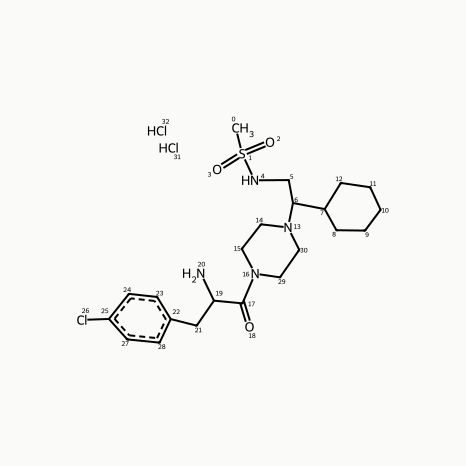 CS(=O)(=O)NCC(C1CCCCC1)N1CCN(C(=O)C(N)Cc2ccc(Cl)cc2)CC1.Cl.Cl